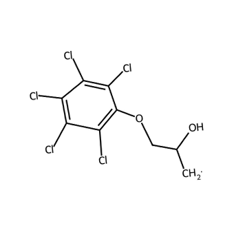 [CH2]C(O)COc1c(Cl)c(Cl)c(Cl)c(Cl)c1Cl